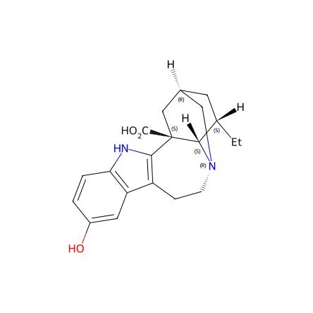 CC[C@H]1C[C@H]2C[N@]3CCc4c([nH]c5ccc(O)cc45)[C@](C(=O)O)(C2)[C@H]13